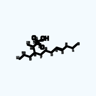 CCC/C=C/CCCC(CCC)C(C)S(=O)(=O)O